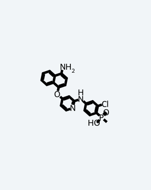 CP(=O)(O)c1ccc(Nc2cc(Oc3ccc(N)c4ccccc34)ccn2)cc1Cl